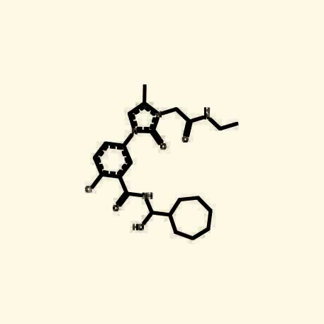 CCNC(=O)Cn1c(C)cn(-c2ccc(Cl)c(C(=O)NC(O)C3CCCCCC3)c2)c1=O